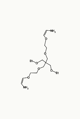 CCOCC(COCC)(COCCO/C=C\N)COCCO/C=C\N